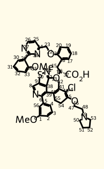 COc1cccc(-c2ncc3snc(O[C@H](Cc4ccccc4OCc4ccnc(-c5ccccc5OC)n4)C(=O)O)c3c2C2=C(C)C(Cl)=C(OCCN3CCCC3)CC2)c1